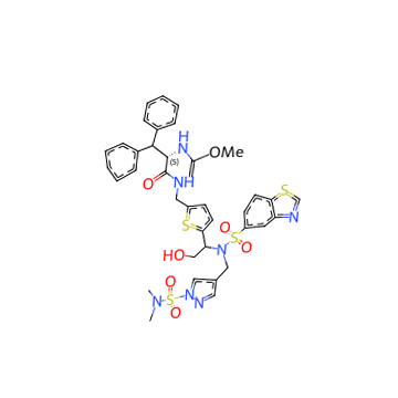 C=C(N[C@H](C(=O)NCc1ccc(C(CO)N(Cc2cnn(S(=O)(=O)N(C)C)c2)S(=O)(=O)c2ccc3scnc3c2)s1)C(c1ccccc1)c1ccccc1)OC